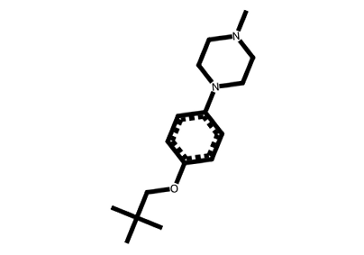 CN1CCN(c2ccc(OCC(C)(C)C)cc2)CC1